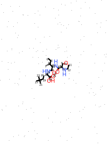 CC[C@H](C)[C@H](NC(=O)[C@H]1COCCN1)C(=O)N[C@@H](CCC(C)(C)C)C(=O)O